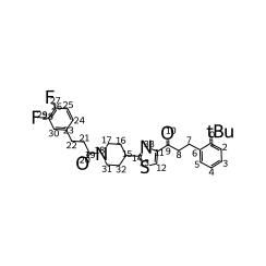 CC(C)(C)c1ccccc1CCC(=O)c1csc(C2CCN(C(=O)CCc3ccc(F)c(F)c3)CC2)n1